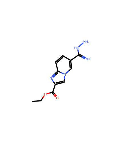 CCOC(=O)c1cn2cc(C(=N)NN)ccc2n1